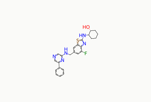 O[C@@H]1CCCCC1Nc1nc2c(F)cc(CNc3cncc(-c4ccccc4)n3)cc2s1